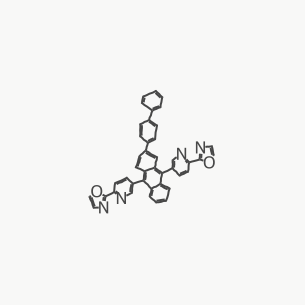 c1ccc(-c2ccc(-c3ccc4c(-c5ccc(-c6ncco6)nc5)c5ccccc5c(-c5ccc(-c6ncco6)nc5)c4c3)cc2)cc1